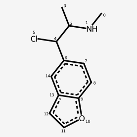 CNC(C)C(Cl)c1ccc2occc2c1